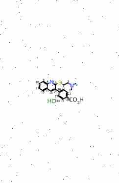 CN(C)CCSc1nc2ccccc2cc1-c1ccc(C(=O)O)cc1.Cl